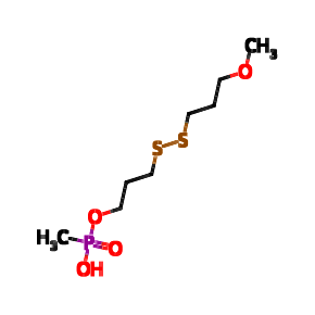 COCCCSSCCCOP(C)(=O)O